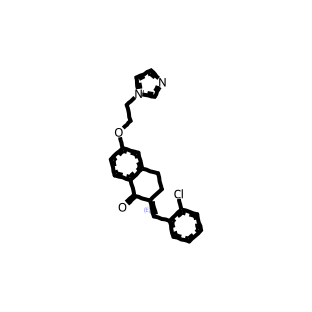 O=C1/C(=C/c2ccccc2Cl)CCc2cc(OCCn3ccnc3)ccc21